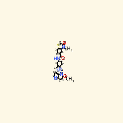 COc1ccc2nccc(-n3cc4c(n3)CCC(NC(=O)c3ccc5c(c3)N(C)C(=O)CS5)C4)c2n1